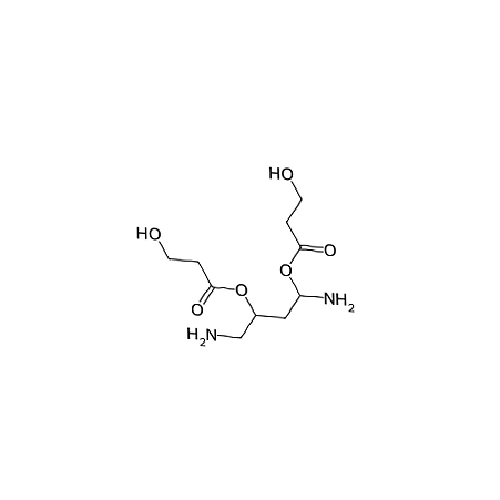 NCC(CC(N)OC(=O)CCO)OC(=O)CCO